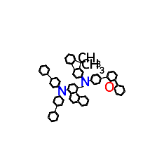 CC1(C)c2ccccc2-c2ccc(N(Cc3ccc(N(c4ccc(-c5ccccc5)cc4)c4ccc(-c5ccccc5)cc4)c4ccc5ccccc5c34)c3ccc(-c4cccc5c4oc4ccccc45)cc3)cc21